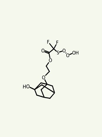 O=C(OCCOC12CC3CC(CC(O)(C3)C1)C2)C(F)(F)SOOO